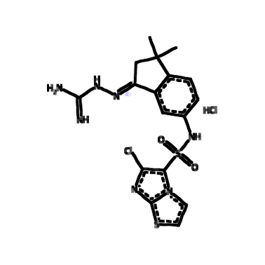 CC1(C)C/C(=N\NC(=N)N)c2cc(NS(=O)(=O)c3c(Cl)nc4sccn34)ccc21.Cl